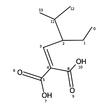 CCC(C=C(C(=O)O)C(=O)O)C(C)C